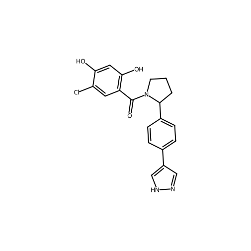 O=C(c1cc(Cl)c(O)cc1O)N1CCCC1c1ccc(-c2cn[nH]c2)cc1